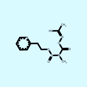 CC(S)=NOC(=O)N(C)S(=O)OCCc1ccccn1